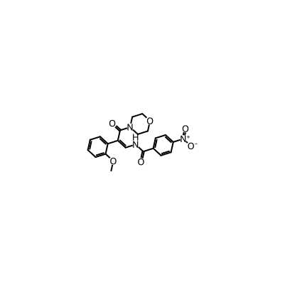 COc1ccccc1C(=CNC(=O)c1ccc([N+](=O)[O-])cc1)C(=O)N1CCOCC1